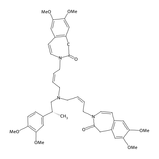 COc1ccc([C@@H](C)CN(C/C=C\CN2C=Cc3cc(OC)c(OC)cc3CC2=O)C/C=C\CN2C=Cc3cc(OC)c(OC)cc3CC2=O)cc1OC